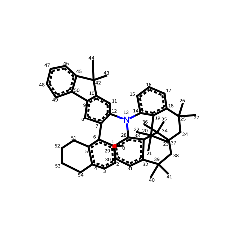 Cc1ccc2c(c1-c1cc3c(cc1N(c1cccc4c1C(C)(C)CCC4(C)C)c1cccc4c1C(C)(C)CCC4(C)C)C(C)(C)c1ccccc1-3)CCCC2